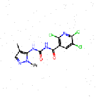 Cc1cnn(C(C)C)c1NC(=O)NC(=O)c1cc(Cl)c(Cl)nc1Cl